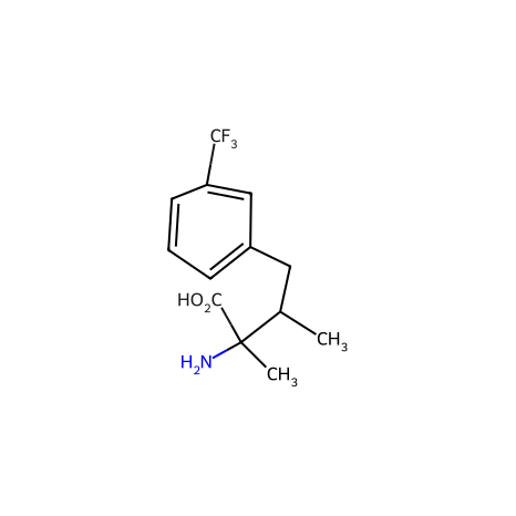 CC(Cc1cccc(C(F)(F)F)c1)C(C)(N)C(=O)O